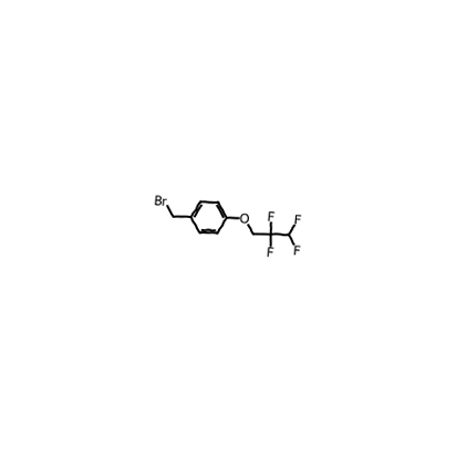 FC(F)C(F)(F)COc1ccc(CBr)cc1